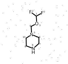 FC(F)OCN1CCNCC1